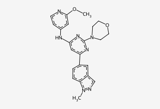 COc1cc(Nc2cc(-c3ccc4c(cnn4C)c3)nc(N3CCOCC3)n2)ccn1